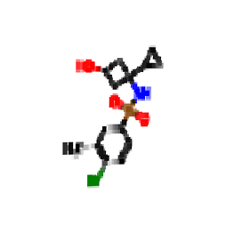 Cc1cc(S(=O)(=O)NC2(C3CC3)CC(O)C2)ccc1Br